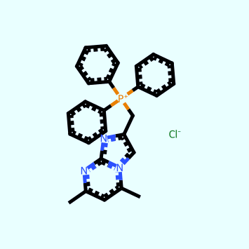 Cc1cc(C)n2cc(C[P+](c3ccccc3)(c3ccccc3)c3ccccc3)nc2n1.[Cl-]